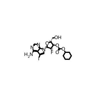 Nc1ncnc2c1c(I)cn2[C@@H]1O[C@H](CO)[C@@H](OC(=O)OC2CCCCC2)[C@@H]1F